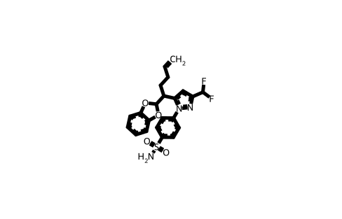 C=CCCC(c1cc(C(F)F)nn1-c1ccc(S(N)(=O)=O)cc1)C1Oc2ccccc2O1